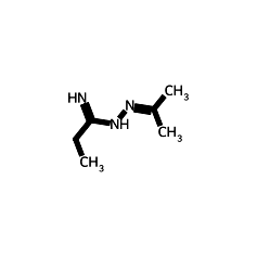 CCC(=N)NN=C(C)C